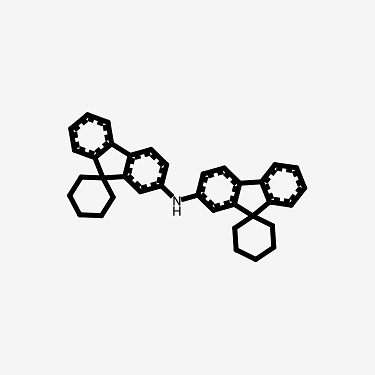 c1ccc2c(c1)-c1ccc(Nc3ccc4c(c3)C3(CCCCC3)c3ccccc3-4)cc1C21CCCCC1